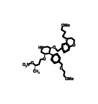 COCCCN1CCOc2ccc(CO[C@H]3CNC[C@@H](OCC[C@H](C)O[N+](=O)[O-])[C@@H]3c3ccc(COCCOC)cc3)cc21